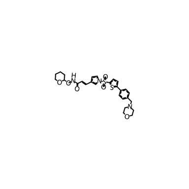 O=C(/C=C/c1ccn(S(=O)(=O)c2ccc(-c3ccc(CN4CCOCC4)cc3)s2)c1)NOC1CCCCO1